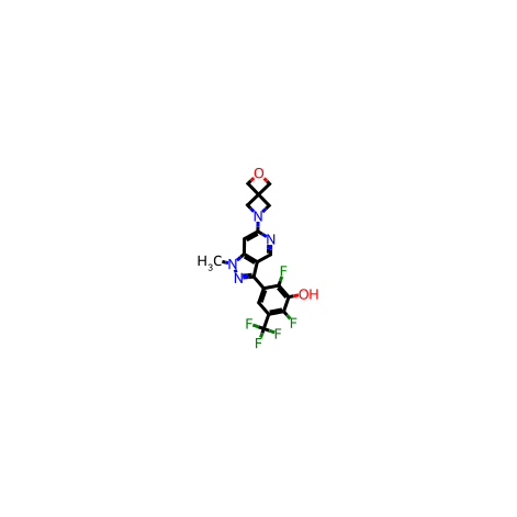 Cn1nc(-c2cc(C(F)(F)F)c(F)c(O)c2F)c2cnc(N3CC4(COC4)C3)cc21